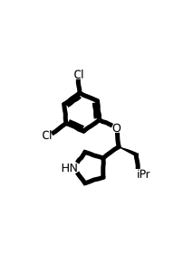 CC(C)C[C@H](Oc1cc(Cl)cc(Cl)c1)C1CCNC1